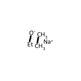 CC.CC[O-].[Na+]